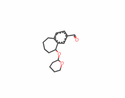 O=Cc1ccc2c(c1)C(OC1CCCCO1)CCCC2